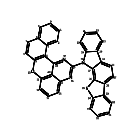 c1ccc2c3c(ccc2c1)Oc1cccc2nc(-n4c5ccccc5c5ccc6c7ccccc7sc6c54)nc-3c12